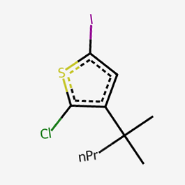 CCCC(C)(C)c1cc(I)sc1Cl